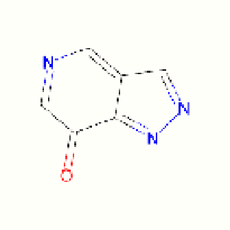 O=C1C=NC=C2C=NN=C12